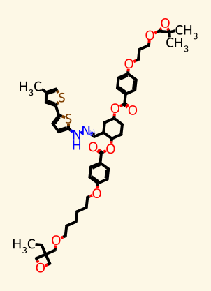 CCC1(COCCCCCCOc2ccc(C(=O)OC3CCC(OC(=O)c4ccc(OCCCOC5OC5(C)C)cc4)CC3/C=N/Nc3ccc(-c4cc(C)cs4)s3)cc2)COC1